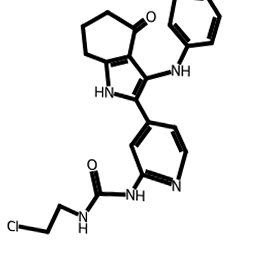 O=C(NCCCl)Nc1cc(-c2[nH]c3c(c2Nc2ccccc2)C(=O)CCC3)ccn1